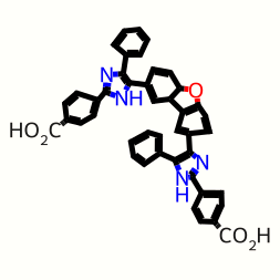 O=C(O)c1ccc(-c2nc(-c3ccccc3)c(C3=CC4c5cc(-c6nc(-c7ccc(C(=O)O)cc7)[nH]c6-c6ccccc6)ccc5OC4C=C3)[nH]2)cc1